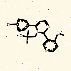 COc1ccncc1C1N=CC=C(c2ccc(Cl)cc2)N1CC(C)(C)O